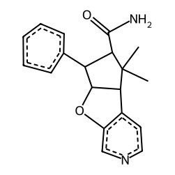 CC1(C)C(C(N)=O)C(c2ccccc2)C2Oc3cnccc3C21